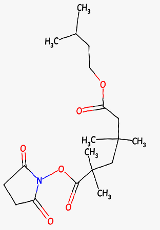 CC(C)CCOC(=O)CC(C)(C)CC(C)(C)C(=O)ON1C(=O)CCC1=O